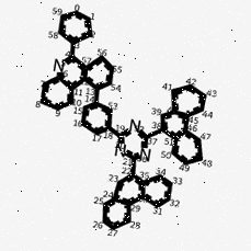 c1ccc(-c2nc3ccccc3c3c(-c4cccc(-c5nc(-c6cc7ccccc7c7ccccc67)nc(-c6cc7ccccc7c7ccccc67)n5)c4)cccc23)cc1